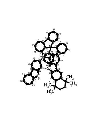 CC1(C)CCC(C)(C)c2cc3c(cc21)sc1c(N(c2ccc4c(c2)oc2ccccc24)c2cccc4c2C2(c5ccccc5-c5ccccc52)c2ccccc2-4)cccc13